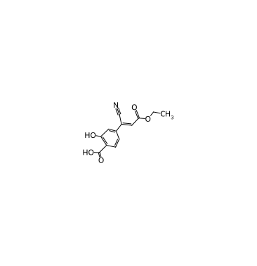 CCOC(=O)C=C(C#N)c1ccc(C(=O)O)c(O)c1